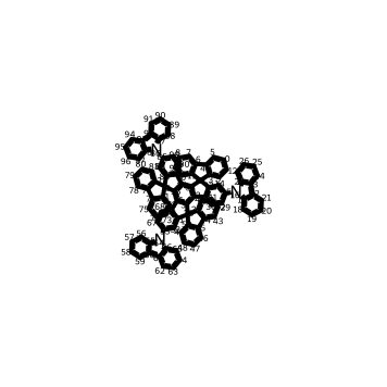 c1ccc2c(c1)-c1ccccc1C21c2cc(-n3c4ccccc4c4ccccc43)ccc2-c2c1c1c(c3c2C2(c4ccccc4-c4ccccc42)c2cc(-n4c5ccccc5c5ccccc54)ccc2-3)C2(c3ccccc3-c3ccccc32)c2cc(-n3c4ccccc4c4ccccc43)ccc2-1